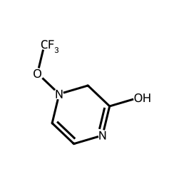 OC1=NC=CN(OC(F)(F)F)C1